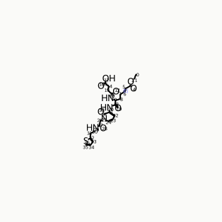 CCOC(=O)/C=C/CCC(NC(=O)CCC(=O)O)C(=O)Nc1cccn(CC(=O)NCCc2cccs2)c1=O